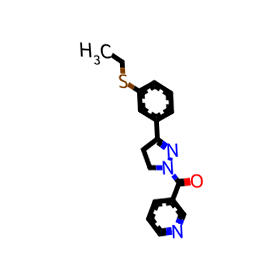 CCSc1cccc(C2=NN(C(=O)c3cccnc3)CC2)c1